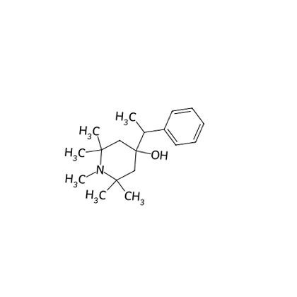 CC(c1ccccc1)C1(O)CC(C)(C)N(C)C(C)(C)C1